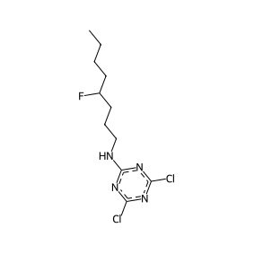 CCCCC(F)CCCNc1nc(Cl)nc(Cl)n1